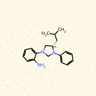 CC(C)C[C@H]1CN(c2ccccc2N)CN1c1ccccc1